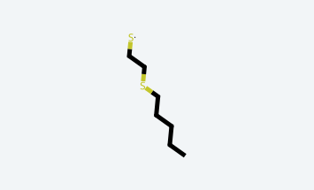 CCCCCSCC[S]